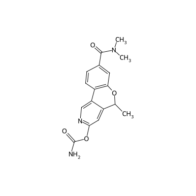 CC1Oc2cc(C(=O)N(C)C)ccc2-c2cnc(OC(N)=O)cc21